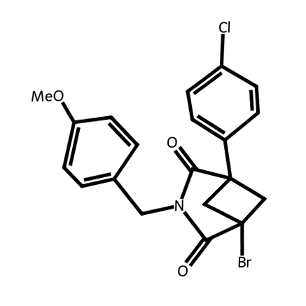 COc1ccc(CN2C(=O)C3(Br)CC(c4ccc(Cl)cc4)(C3)C2=O)cc1